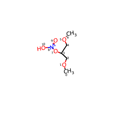 COCC(COC)O[N+](=O)O